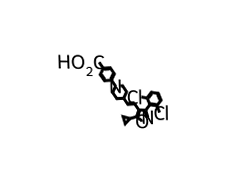 O=C(O)c1ccc(N2CCC(/C=C/c3c(-c4c(Cl)cccc4Cl)noc3C3CC3)CC2)cc1